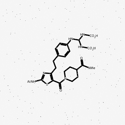 CNC(=O)C1CCN(C(=O)c2sc(NC(C)=O)nc2CCc2ccc(NC(NC(=O)O)NC(=O)O)cc2)CC1